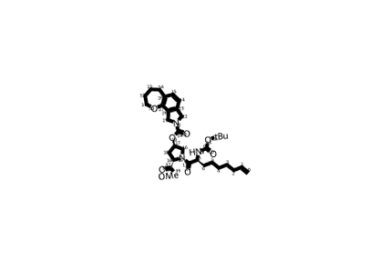 C=CCCCCC[C@H](NC(=O)OC(C)(C)C)C(=O)N1C[C@H](OC(=O)N2Cc3ccc4c(c3C2)OCCCC4)C[C@H]1C(=O)OC